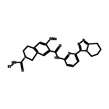 CCNC(=O)N1CCc2cc(OC)c(C(=O)Nc3cccc(-c4nnc5n4CCCC5)n3)cc2C1